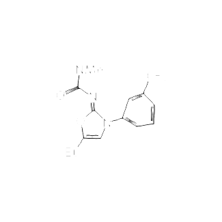 CCc1cn(-c2cccc(C(F)(F)F)c2)c(=NC(=O)NC)o1